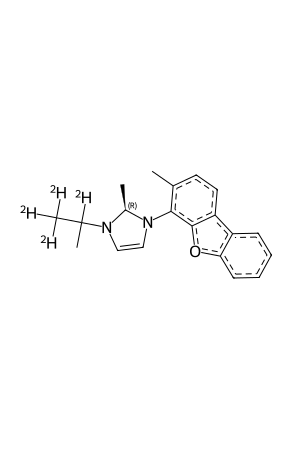 [2H]C([2H])([2H])C([2H])(C)N1C=CN(c2c(C)ccc3c2oc2ccccc23)[C@@H]1C